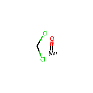 ClCCl.[O]=[Mn]